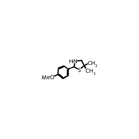 COc1ccc(C2NCC(C)(C)S2)cc1